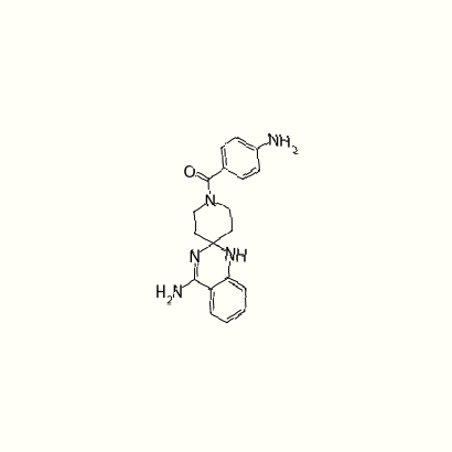 NC1=NC2(CCN(C(=O)c3ccc(N)cc3)CC2)Nc2ccccc21